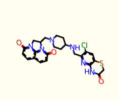 O=C1CSc2cc(Cl)c(CNC3CCN(CC4Cn5c(=O)ccc6ccc(=O)n4c65)CC3)nc2N1